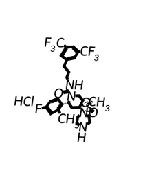 Cc1cc(F)ccc1[C@H]1C[C@@H]([N+]2(S(C)(=O)=O)CCNCC2)CCN1C(=O)NCCCc1cc(C(F)(F)F)cc(C(F)(F)F)c1.Cl